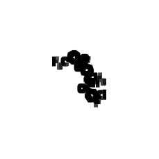 CC1(CNC(=O)c2ccc(F)c(Cl)c2)CCC(F)(S(=O)(=O)c2cccc(C(F)(F)F)c2)CC1